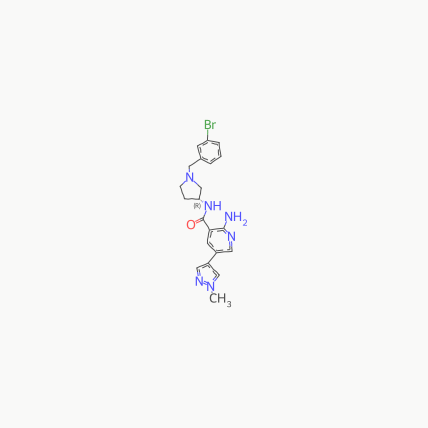 Cn1cc(-c2cnc(N)c(C(=O)N[C@@H]3CCN(Cc4cccc(Br)c4)C3)c2)cn1